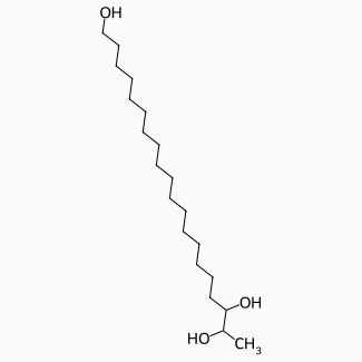 CC(O)C(O)CCCCCCCCCCCCCCCCCO